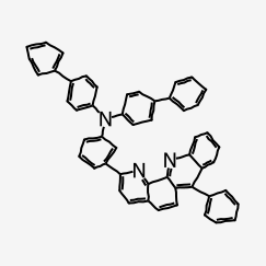 c1ccc(-c2ccc(N(c3ccc(-c4ccccc4)cc3)c3cccc(-c4ccc5ccc6c(-c7ccccc7)c7ccccc7nc6c5n4)c3)cc2)cc1